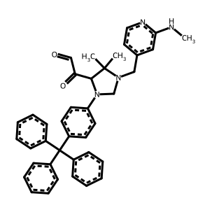 CNc1cc(CN2CN(c3ccc(C(c4ccccc4)(c4ccccc4)c4ccccc4)cc3)C(C(=O)C=O)C2(C)C)ccn1